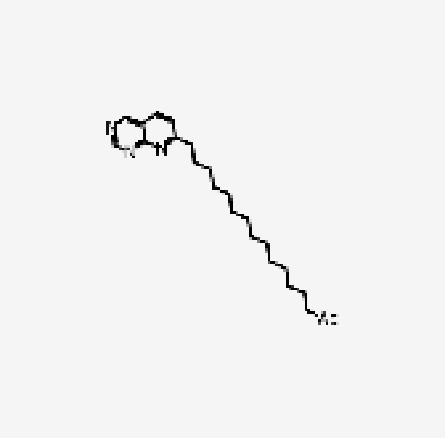 CC(=O)CCCCCCCCCCCCCCc1ccc2cncnc2n1